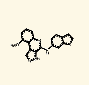 COc1cccc2nc(Nc3ccc4ccsc4c3)c3[nH]ncc3c12